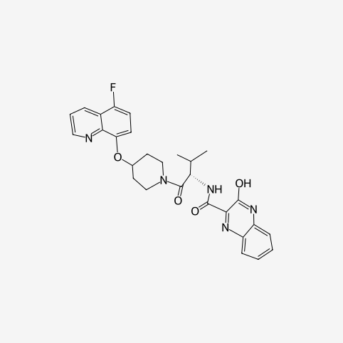 CC(C)[C@H](NC(=O)c1nc2ccccc2nc1O)C(=O)N1CCC(Oc2ccc(F)c3cccnc23)CC1